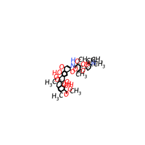 COC(=O)c1c(C)cc2c(c1O)[C@@]1(O)C(=O)c3cc4c(c(O)c3C(=O)[C@@]1(OC)CC2)C(=O)C=C(N[C@H]1O[C@@H](C)[C@H](O[C@@H]2CC[C@H](N(C)C)[C@H](C)O2)[C@H](O)[C@H]1OC)C4=O